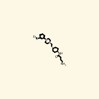 CCOc1cccc(N2CCN(CC[C@H]3CC[C@H](NC(=O)CCCN)CC3)CC2)c1